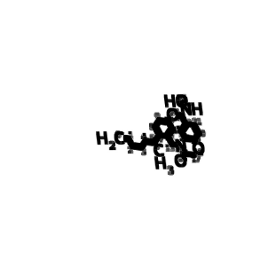 C=C/C=C\C=C(/C)c1ccccc1CN1C(=O)COc2ccc(C(=O)NO)cc21